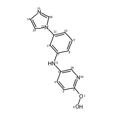 OOc1ccc(Nc2cccc(-n3ccnc3)c2)cn1